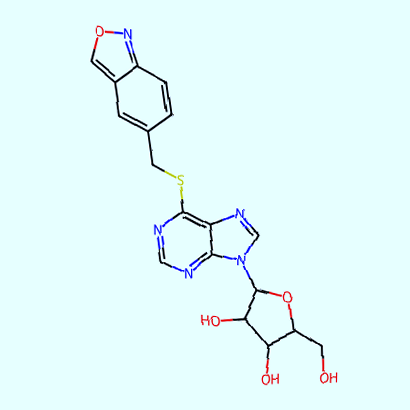 OCC1OC(n2cnc3c(SCc4ccc5nocc5c4)ncnc32)C(O)C1O